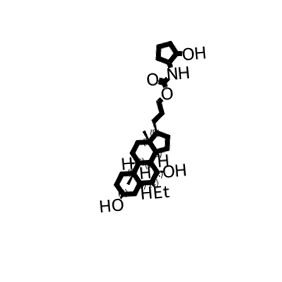 CC[C@H]1[C@@H](O)[C@@H]2[C@H](CC[C@]3(C)[C@@H](CCCOC(=O)NC4CCCC4O)CC[C@@H]23)[C@@]2(C)CC[C@@H](O)C[C@@H]12